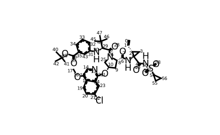 C=C[C@@H]1C[C@]1(NC(=O)[C@@H]1C[C@@H](Oc2ncc(OC)c3ccc(Cl)cc23)CN1C(=O)[C@@H](Nc1cccc(C(=O)OC(C)(C)C)c1)C(C)(C)C)C(=O)NS(=O)(=O)C1CC1